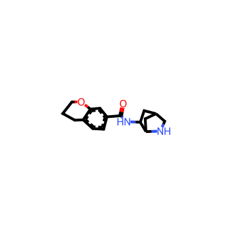 O=C(NC1CC2CNC1C2)c1ccc2c(c1)OCCC2